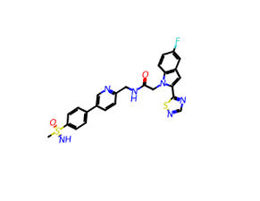 CS(=N)(=O)c1ccc(-c2ccc(CNC(=O)Cn3c(-c4ncns4)cc4cc(F)ccc43)nc2)cc1